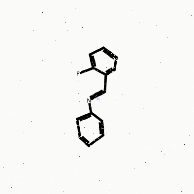 Fc1ccccc1/C=N/c1ccccc1